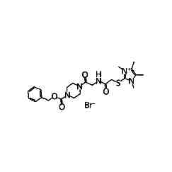 Cc1c(C)[n+](C)c(SCC(=O)NCC(=O)N2CCN(C(=O)OCc3ccccc3)CC2)n1C.[Br-]